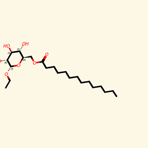 CCCCCCCCCCCCCC(=O)OC[C@H]1O[C@H](OCC)[C@H](O)[C@@H](O)[C@@H]1O